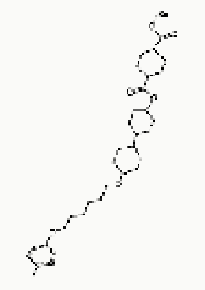 CCC(C)OC(=O)C1CCC(C(=O)OC2CCC(C3CCC(OCCCCCCOc4ccc(C)cc4)CC3)CC2)CC1